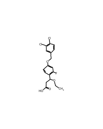 CCOC(CC(=O)O)c1ccc(OCc2ccc(Cl)c(Cl)c2)cc1F